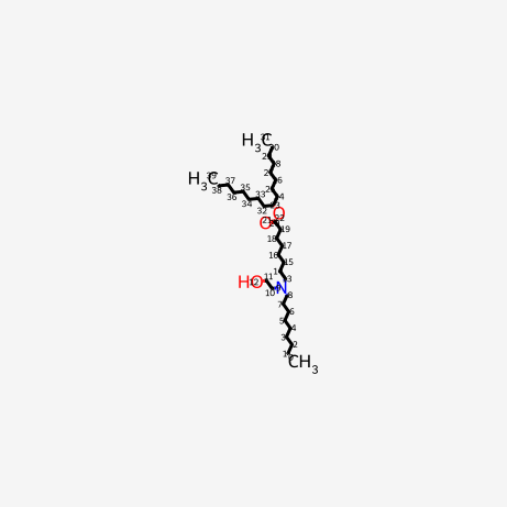 CCCCCCCCCN(CCO)CCCCCCCC(=O)OC(CCCCCCCC)CCCCCCCC